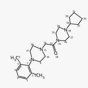 Cc1cccc(C)c1N1CCN(CC(=O)N2CCN(C3CCCC3)CC2)CC1